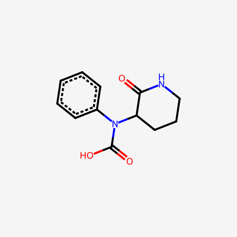 O=C1NCCCC1N(C(=O)O)c1ccccc1